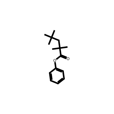 CC(C)(C)CC(C)(C)C(=O)Oc1ccccc1